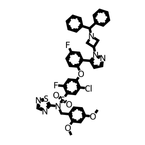 COc1ccc(CN(c2ncns2)S(=O)(=O)c2cc(Cl)c(Oc3ccc(F)cc3-c3ccnn3C3CN(C(c4ccccc4)c4ccccc4)C3)cc2F)c(OC)c1